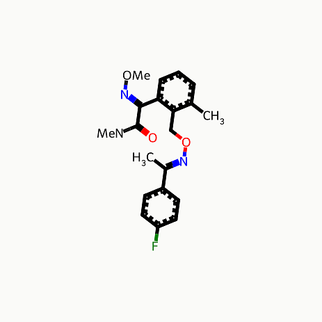 CNC(=O)/C(=N/OC)c1cccc(C)c1CO/N=C(\C)c1ccc(F)cc1